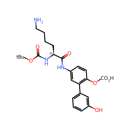 CC(C)(C)OC(=O)N[C@@H](CCCCN)C(=O)Nc1ccc(OC(=O)O)c(-c2cccc(O)c2)c1